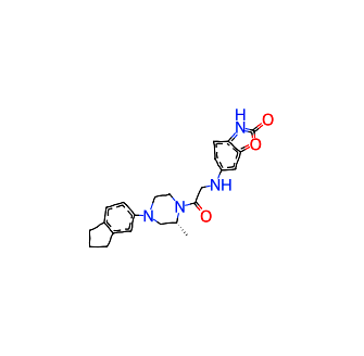 C[C@@H]1CN(c2ccc3c(c2)CCC3)CCN1C(=O)CNc1ccc2[nH]c(=O)oc2c1